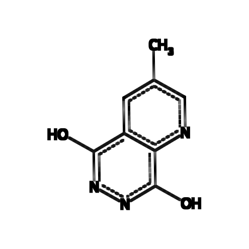 Cc1cnc2c(O)nnc(O)c2c1